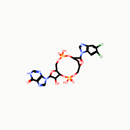 O=c1[nH]cnc2c1ncn2C1OC2COP(=O)(O)OC3C(O)C(COP(=O)(O)OC2C1O)OC3n1cnc2cc(Cl)c(Cl)cc21